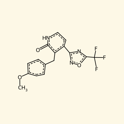 COc1ccc(Cc2c(-c3noc(C(F)(F)F)n3)cc[nH]c2=O)cc1